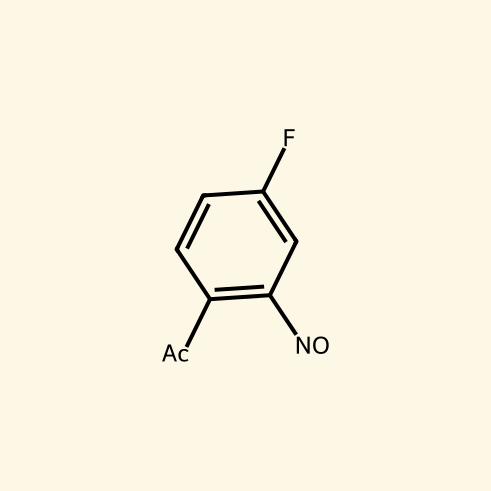 CC(=O)c1ccc(F)cc1N=O